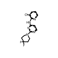 FC1(F)CCN(c2nccc(Nc3ncccc3Cl)n2)CC1